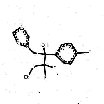 CCSC(F)(F)C(O)(Cn1cncn1)c1ccc(F)cc1